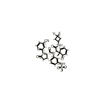 CC1([C@@H](C(=O)NC2CC(F)(F)C2)N(C(=O)[C@@H]2CCC(=O)N2c2cc(C#N)ccn2)c2cccc(NS(C)(=O)=O)c2)C=CC=CC1Cl